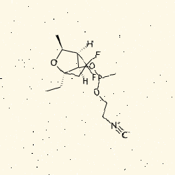 [C-]#[N+]CCOP(C)O[C@@H]1[C@H]2[C@H](C)O[C@]1(CC)CC2(F)F